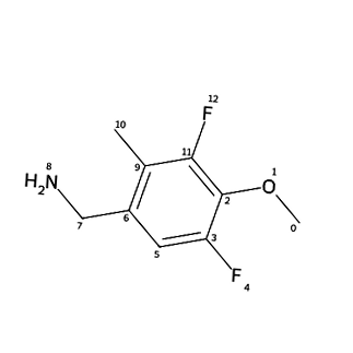 COc1c(F)cc(CN)c(C)c1F